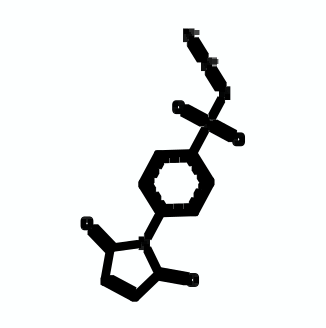 [N-]=[N+]=NS(=O)(=O)c1ccc(N2C(=O)C=CC2=O)cc1